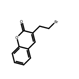 O=c1oc2ccccc2cc1CCBr